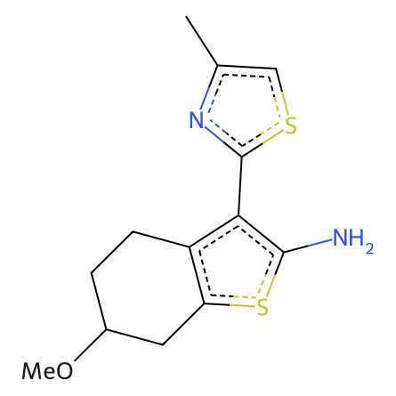 COC1CCc2c(sc(N)c2-c2nc(C)cs2)C1